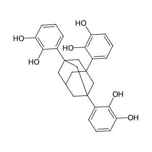 Oc1cccc(C23CC4CC(c5cccc(O)c5O)(C2)CC(c2cccc(O)c2O)(C4)C3)c1O